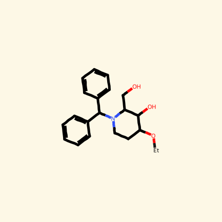 CCOC1[CH]CN(C(c2ccccc2)c2ccccc2)C(CO)C1O